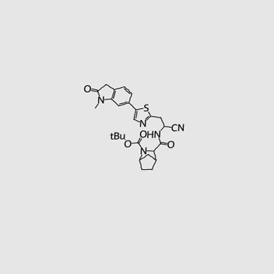 CN1C(=O)Cc2ccc(-c3cnc(CC(C#N)NC(=O)C4C5CCC(C5)N4C(=O)OC(C)(C)C)s3)cc21